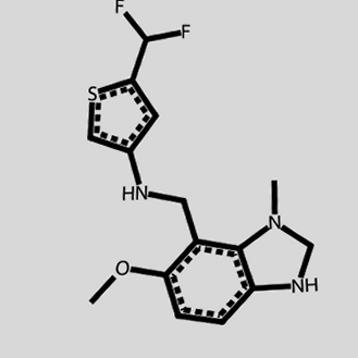 COc1ccc2c(c1CNc1csc(C(F)F)c1)N(C)CN2